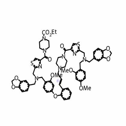 CCOC(=O)N1CCN(C(=O)c2csc(CN(Cc3ccc4c(c3)OCO4)Cc3ccc(Oc4ccccc4/C=C/CN4CCN(C(=O)c5csc(CN(Cc6ccc7c(c6)OCO7)Cc6ccc(OC)cc6OC)n5)CC4)cc3OC)n2)CC1